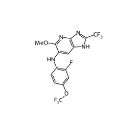 COc1nc2nc(C(F)(F)F)[nH]c2cc1Nc1ccc(OC(F)(F)F)cc1F